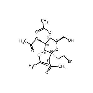 CC(=O)O[C@H]1[C@H](OC(C)=O)[C@@H](CO)O[C@@](CCBr)(OC(C)=O)[C@@H]1OC(C)=O